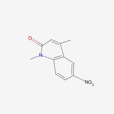 Cc1cc(=O)n(C)c2ccc([N+](=O)[O-])cc12